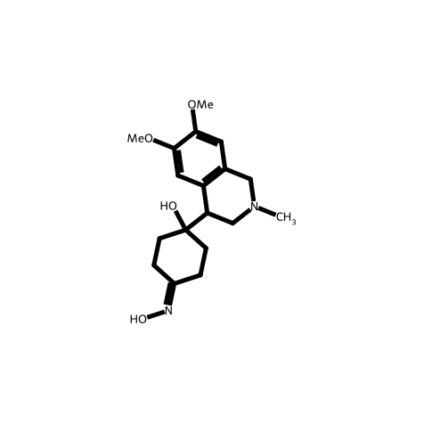 COc1cc2c(cc1OC)C(C1(O)CCC(=NO)CC1)CN(C)C2